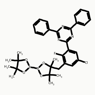 CC1(C)OB(B2OC(C)(C)C(C)(Cc3cc(Cl)cc(-c4nc(-c5ccccc5)nc(-c5ccccc5)n4)c3F)O2)OC1(C)C